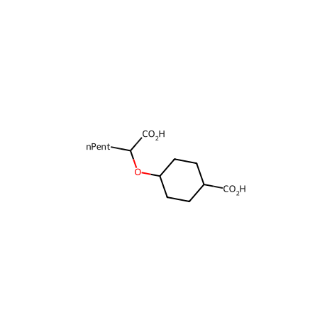 CCCCCC(OC1CCC(C(=O)O)CC1)C(=O)O